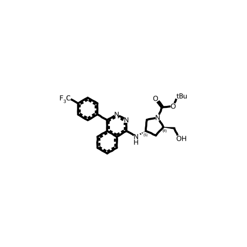 CC(C)(C)OC(=O)N1C[C@@H](Nc2nnc(-c3ccc(C(F)(F)F)cc3)c3ccccc23)C[C@@H]1CO